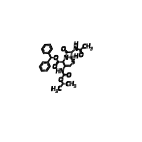 CC(=O)NC1C(=O)N2C(C(=O)OC(c3ccccc3)c3ccccc3)C(NC(=O)OC(C)C)=CS[C@H]12